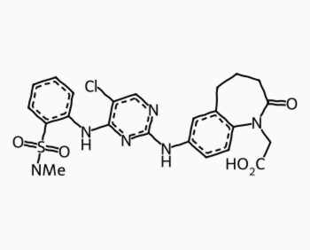 CNS(=O)(=O)c1ccccc1Nc1nc(Nc2ccc3c(c2)CCCC(=O)N3CC(=O)O)ncc1Cl